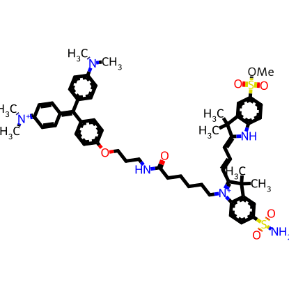 COS(=O)(=O)c1ccc2c(c1)C(C)(C)/C(=C/C=C/C1=[N+](CCCCCC(=O)NCCCOc3ccc(C(=C4C=CC(=[N+](C)C)C=C4)c4ccc(N(C)C)cc4)cc3)c3ccc(S(N)(=O)=O)cc3C1(C)C)N2